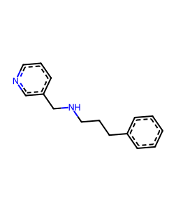 c1ccc(CCCNCc2cccnc2)cc1